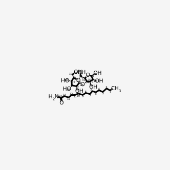 CCCCCCCCCCCCCCCC(N)=O.OC[C@H]1O[C@H](O[C@H]2[C@H](O)[C@@H](O)[C@H](O)O[C@@H]2CO)[C@H](O)[C@@H](O)[C@@H]1O